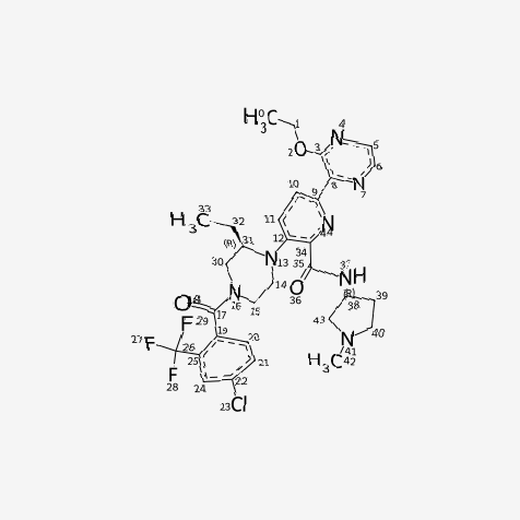 CCOc1nccnc1-c1ccc(N2CCN(C(=O)c3ccc(Cl)cc3C(F)(F)F)C[C@H]2CC)c(C(=O)N[C@@H]2CCN(C)C2)n1